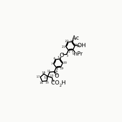 CCCc1c(COc2ccc(C(=O)CC3(CC(=O)O)CCCC3)cc2)ccc(C(C)=O)c1O